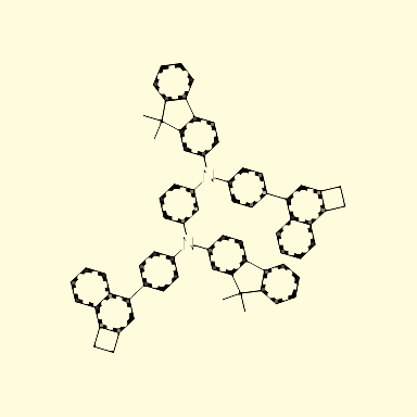 CC1(C)c2ccccc2-c2ccc(N(c3ccc(-c4cc5c(c6ccccc46)CC5)cc3)c3cccc(N(c4ccc(-c5cc6c(c7ccccc57)CC6)cc4)c4ccc5c(c4)C(C)(C)c4ccccc4-5)c3)cc21